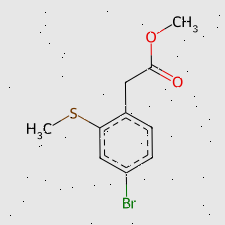 COC(=O)Cc1ccc(Br)cc1SC